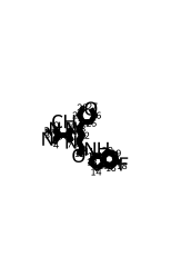 Cn1cncc1-c1nc(C(=O)N[C@H]2CCc3cc(F)ccc32)cc(C2CCOCC2)n1